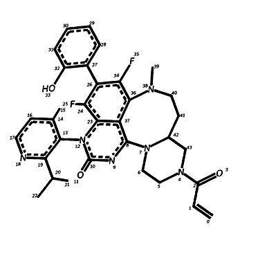 C=CC(=O)N1CCN2c3nc(=O)n(-c4c(C)ccnc4C(C)C)c4c(F)c(-c5ccccc5O)c(F)c(c34)N(C)CCC2C1